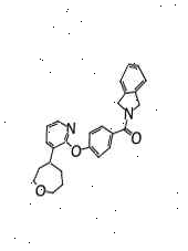 O=C(c1ccc(Oc2ncccc2C2CCCOCC2)cc1)N1Cc2ccccc2C1